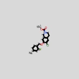 CC(C)(C)OC(=O)N1CCc2cc(Cl)c(OCc3ccc(C#N)cc3F)cc2C1